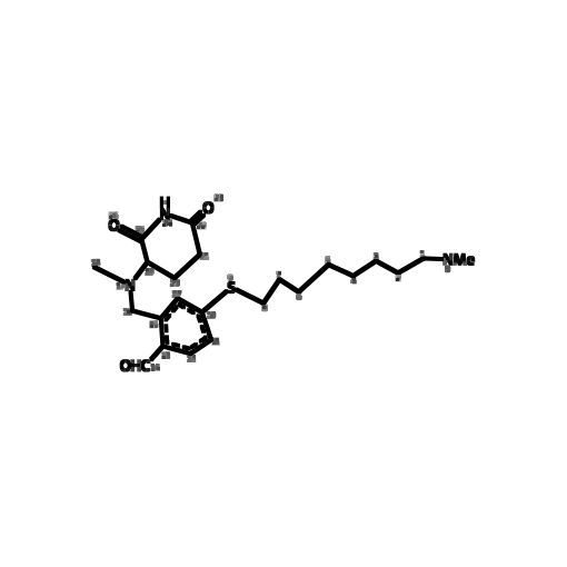 CNCCCCCCCCSc1ccc(C=O)c(CN(C)C2CCC(=O)NC2=O)c1